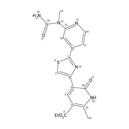 CCOC(=O)c1cc(-c2csc(-c3ccnc(N(C)C(N)=O)c3)n2)c(=O)[nH]c1C